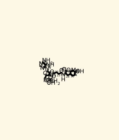 B[PH]1(O)OCC2OC(N3CNc4c(N)ncnc43)C(OC(=O)CCC(=O)NC(Cc3ccc(O)cc3)C(=O)OC)[C@@H]2O1